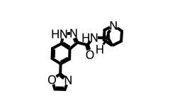 O=C(N[C@@H]1CN2CCC1CC2)c1n[nH]c2ccc(-c3ncco3)cc12